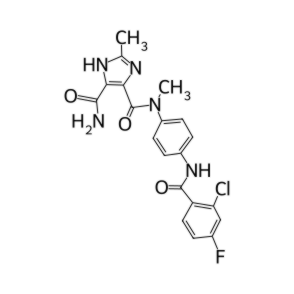 Cc1nc(C(=O)N(C)c2ccc(NC(=O)c3ccc(F)cc3Cl)cc2)c(C(N)=O)[nH]1